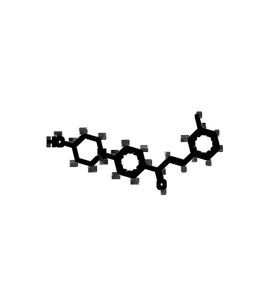 Cc1cccc(C=CC(=O)c2ccc(N3CCC(O)CC3)cc2)c1